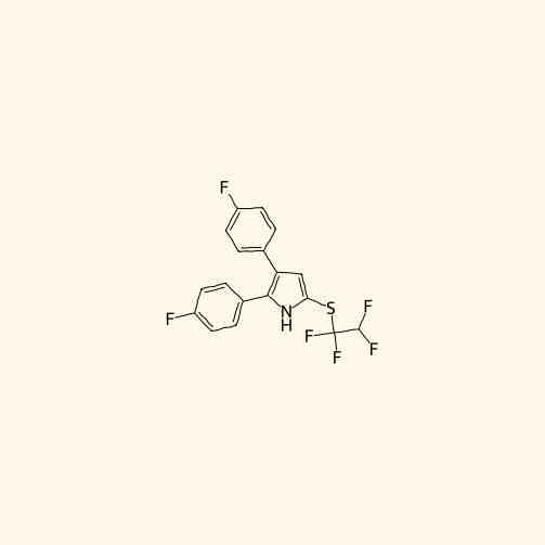 Fc1ccc(-c2cc(SC(F)(F)C(F)F)[nH]c2-c2ccc(F)cc2)cc1